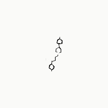 OC(CCCN1CC=C(c2ccc(Cl)cc2)CC1)c1ccc(F)cc1